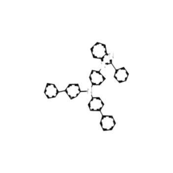 c1ccc(-c2ccc(N(c3ccc(-c4ccccc4)cc3)c3ccc(-n4c(-c5ccccc5)nc5ccccc54)cc3)cc2)cc1